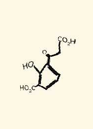 O=C(O)CC(=O)c1cccc(C(=O)O)c1O